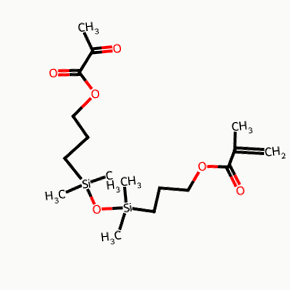 C=C(C)C(=O)OCCC[Si](C)(C)O[Si](C)(C)CCCOC(=O)C(C)=O